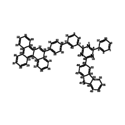 c1ccc(-c2nc(-c3cccc(-c4ccc(-c5cc6c7ccccc7c7ccccc7c6c6ccccc56)cc4)c3)nc(-c3ccc4sc5ccccc5c4c3)n2)cc1